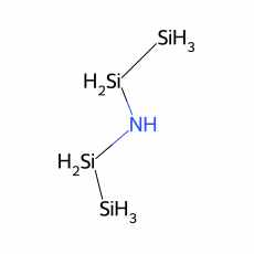 [SiH3][SiH2]N[SiH2][SiH3]